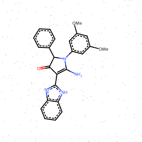 COc1cc(OC)cc(N2C(N)=C(c3nc4ccccc4[nH]3)C(=O)C2c2ccccc2)c1